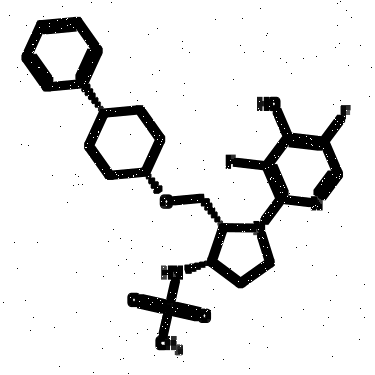 CS(=O)(=O)N[C@H]1CCN(c2ncc(F)c(O)c2F)[C@H]1CO[C@H]1CC[C@@H](c2ccccc2)CC1